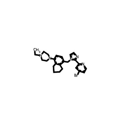 CCN1CCN(c2ccc(Cn3ccnc3-c3cc(Br)ccn3)c3c2CCCC3)CC1